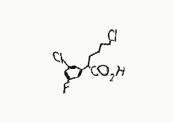 O=C(O)C(CCCCCl)c1cc(F)cc(Cl)c1